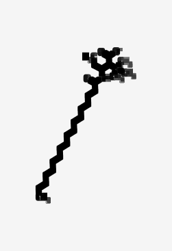 CCCCCCCCCCCCCCCCCC(=O)NC(CC)C(C(=O)[O-])[N+](C)(C)C